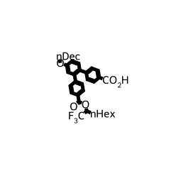 CCCCCCCCCCOc1ccc(-c2ccc(C(=O)O)cc2)c(-c2ccc(C(=O)OC(CCCCCC)C(F)(F)F)cc2)c1